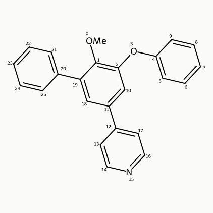 COc1c(Oc2ccccc2)cc(-c2ccncc2)cc1-c1ccccc1